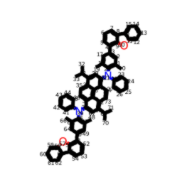 Cc1cc(-c2cccc3c2oc2ccccc23)cc(C)c1N(c1ccccc1)c1cc(C(C)C)c2ccc3c(N(c4ccccc4)c4c(C)cc(-c5cccc6c5oc5ccccc56)cc4C)cc(C(C)C)c4ccc1c2c43